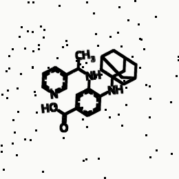 CC(Nc1cc(C(=O)O)ccc1NC12CC3CC(CC(C3)C1)C2)c1cccnc1